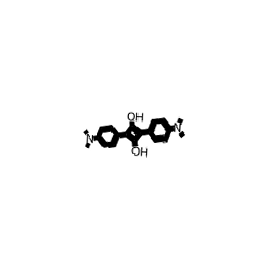 CN(C)c1ccc(C2=C(O)C(c3ccc(N(C)C)cc3)=C2O)cc1